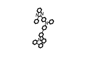 c1ccc(-c2ccccc2-n2c3ccccc3c3cc(-c4ccc(N(c5ccccc5)c5ccc(-c6nc7ccccc7nc6-c6ccccc6)cc5)cc4)ccc32)cc1